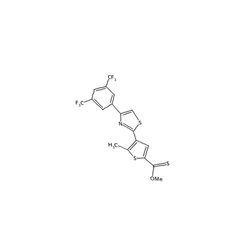 COC(=S)c1cc(-c2nc(-c3cc(C(F)(F)F)cc(C(F)(F)F)c3)cs2)c(C)s1